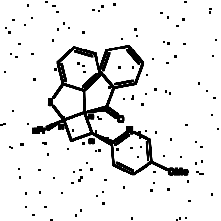 CCC[C@]12C[C@H](c3ccc(OC)cn3)[C@@]1(C(=O)c1ccccc1)c1ccccc1S2